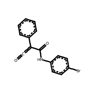 O=C=C(C(=O)Nc1ccc(Br)cc1)c1ccccc1